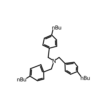 CCCCc1ccc(CN(Cc2ccc(CCCC)cc2)Cc2ccc(CCCC)cc2)cc1